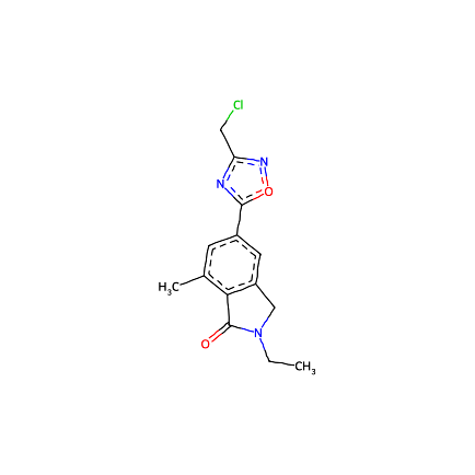 CCN1Cc2cc(-c3nc(CCl)no3)cc(C)c2C1=O